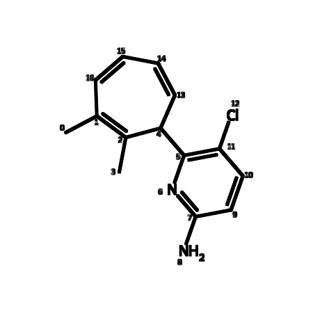 CC1=C(C)C(c2nc(N)ccc2Cl)C=CC=C1